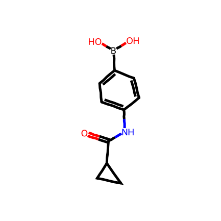 O=C(Nc1ccc(B(O)O)cc1)C1CC1